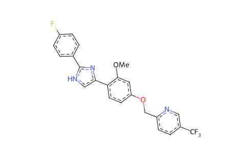 COc1cc(OCc2ccc(C(F)(F)F)cn2)ccc1-c1c[nH]c(-c2ccc(F)cc2)n1